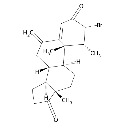 C=C1C[C@@H]2[C@H](CC[C@]3(C)C(=O)CC[C@@H]23)[C@]2(C)C1=CC(=O)C(Br)[C@@H]2C